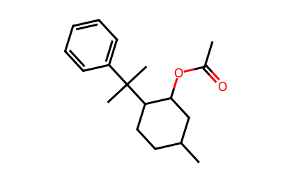 CC(=O)OC1CC(C)CCC1C(C)(C)c1ccccc1